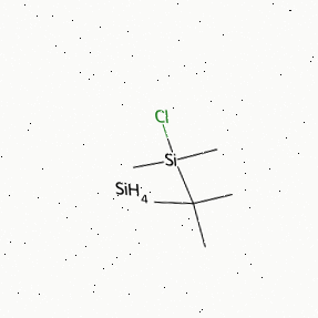 CC(C)(C)[Si](C)(C)Cl.[SiH4]